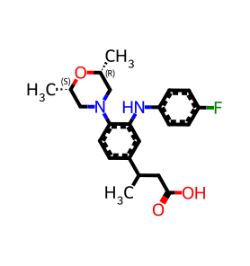 CC(CC(=O)O)c1ccc(N2C[C@@H](C)O[C@@H](C)C2)c(Nc2ccc(F)cc2)c1